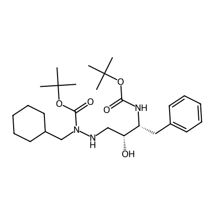 CC(C)(C)OC(=O)N[C@H](Cc1ccccc1)[C@H](O)CNN(CC1CCCCC1)C(=O)OC(C)(C)C